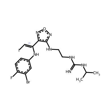 CC(C)NC(=N)NCCNc1nonc1/C(=C/I)Nc1ccc(F)c(Br)c1